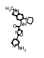 Cn1cc2cc(NC(=O)c3coc(-c4ccnc(N)c4)n3)c(N3CCCCC3)cc2n1